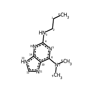 CCCNc1nc(N(C)C)c2nc[nH]c2n1